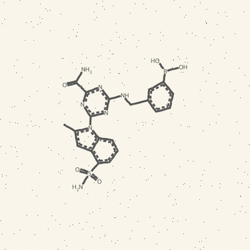 Cc1cc2c(S(N)(=O)=O)cccc2n1-c1nc(NCc2cccc(B(O)O)c2)nc(C(N)=O)n1